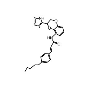 CCCCCc1ccc(/C=C/C(=O)Nc2cccc3c2OC(c2nnn[nH]2)CO3)cc1